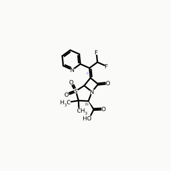 CC1(C)[C@H](C(=O)O)N2C(=O)/C(=C(/c3ccccn3)C(F)F)C2S1(=O)=O